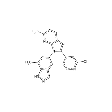 Cc1cc(-n2c(-c3ccnc(Cl)c3)nc3ccc(C(F)(F)F)nc32)cc2cn[nH]c12